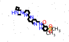 Cc1ccc(C(=O)NCc2cc3nc(-c4cccc(N5CCNC6(CCC6)C5)n4)ccc3cn2)cc1S(C)(=O)=O